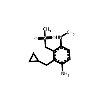 CNc1ccc(N)c(CC2CC2)c1CS(C)(=O)=O